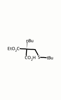 CCCC[C@](CSC(C)(C)C)(C(=O)O)C(=O)OCC